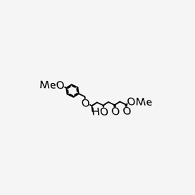 COC(=O)CC(=O)CC(O)CC(C)OCc1ccc(OC)cc1